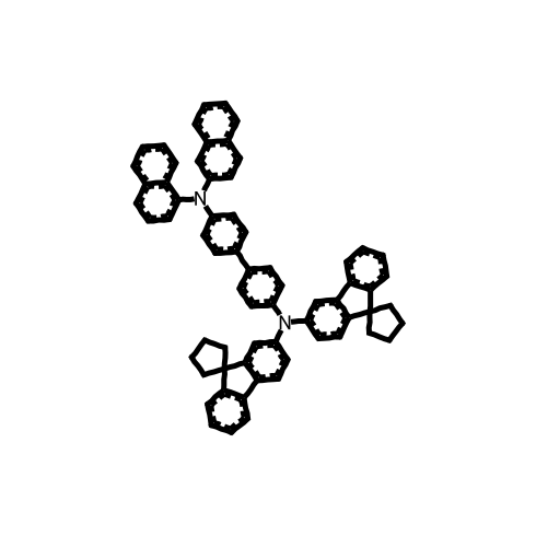 c1ccc2c(c1)-c1cc(N(c3ccc(-c4ccc(N(c5ccc6ccccc6c5)c5cccc6ccccc56)cc4)cc3)c3ccc4c(c3)C3(CCCC3)c3ccccc3-4)ccc1C21CCCC1